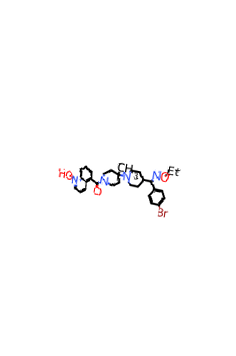 CCON=C(c1ccc(Br)cc1)C1CCN(C2(C)CCN(C(=O)c3cccc4c3ccc[n+]4O)CC2)CC1